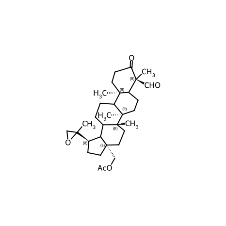 CC(=O)OC[C@]12CC[C@@H](C3(C)CO3)C1C1CCC3[C@@]4(C)CCC(=O)[C@@](C)(C=O)C4CC[C@@]3(C)[C@]1(C)CC2